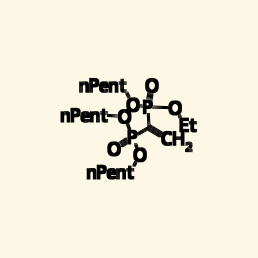 C=C(P(=O)(OCC)OCCCCC)P(=O)(OCCCCC)OCCCCC